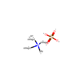 CCCCCCC[N+](CCC)(CCCCCCC)CCCCCCC.O=S(=O)([O-])[O-].[H+]